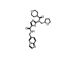 O=C(NCc1ccc2nccn2c1)c1cnc(N(C[C@H]2CCCO2)C(=O)C2CCOCC2)s1